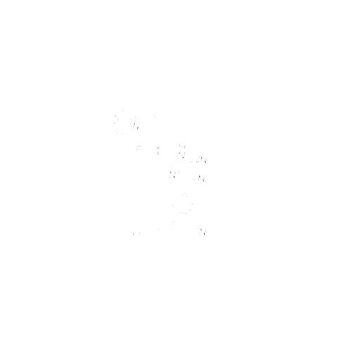 C=C/C(=C(F)\C=C(/C)c1nc2c(-c3ccc(OC4CCOCC4)c(C#N)c3)ncnc2[nH]1)N1CCOCC1